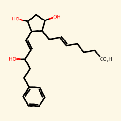 O=C(O)CCC/C=C/CC1C(O)CC(O)C1/C=C/C(O)CCc1ccccc1